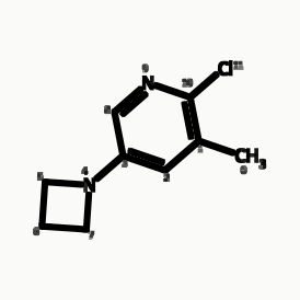 Cc1cc(N2CCC2)cnc1Cl